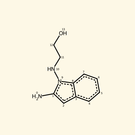 Nc1cc2ccccc2n1NCCO